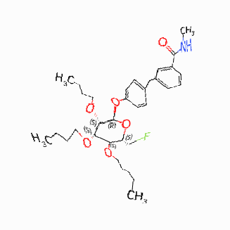 CCCCO[C@@H]1[C@H](OCCCC)[C@@H](Oc2ccc(-c3cccc(C(=O)NC)c3)cc2)O[C@H](CF)[C@H]1OCCCC